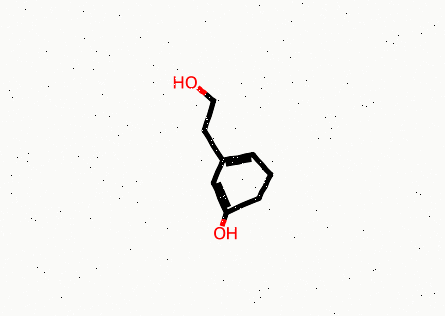 OCCC1=CCCC(O)=C1